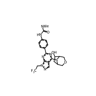 CNC(=O)Nc1ccc(-c2nc(N3C4COCC3C(O)C4)c3cnn(CC(F)(F)F)c3n2)cc1